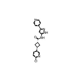 O=C(Nc1cc(-c2ccncc2)n[nH]1)[C@H]1C[C@H](c2ccc(Cl)nc2)C1